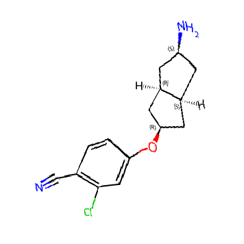 N#Cc1ccc(O[C@H]2C[C@H]3C[C@@H](N)C[C@H]3C2)cc1Cl